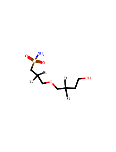 CCC(CC)(CCO)COCC(CC)(CC)CS(N)(=O)=O